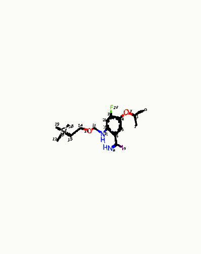 CC(C)Oc1cc(C(=N)I)c(NCOCC[Si](C)(C)C)cc1F